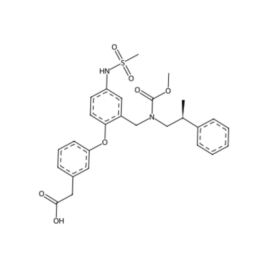 COC(=O)N(Cc1cc(NS(C)(=O)=O)ccc1Oc1cccc(CC(=O)O)c1)C[C@@H](C)c1ccccc1